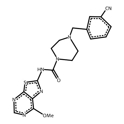 COc1ncnc2sc(NC(=O)N3CCN(Cc4cccc(C#N)c4)CC3)nc12